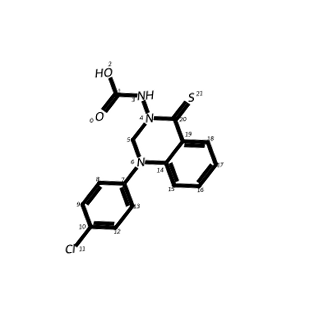 O=C(O)NN1CN(c2ccc(Cl)cc2)c2ccccc2C1=S